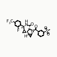 CS(=O)(=O)c1cccc(C(=O)N2C3=C[C@H]3C[C@@H]2C(=O)N[C@@H](c2ccc(C(F)(F)F)cc2F)C2CC2)c1